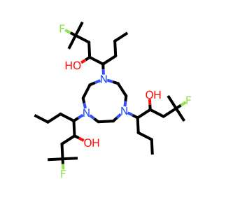 CCCC(C(O)CC(C)(C)F)N1CCN(C(CCC)C(O)CC(C)(C)F)CCN(C(CCC)C(O)CC(C)(C)F)CC1